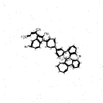 C=C/C=C(/C#N)c1c(C)n(C2=CC=CC(c3cccc(-c4cccc(C#N)c4N4c5ccccc5C5=C(CCCC=C5)[C@H]4C)c3)=CC2)c2ccc(C#N)cc12